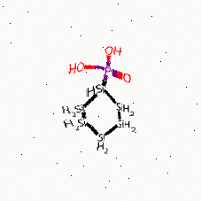 O=P(O)(O)[SiH]1[SiH2][SiH2][SiH2][SiH2][SiH2]1